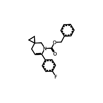 O=C(OCc1ccccc1)N1CC2(CC=C1c1ccc(F)cc1)CC2